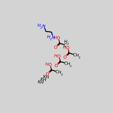 CC(=O)O.CC(=O)O.CC(=O)O.CC(=O)O.NCCN.[KH].[KH].[KH]